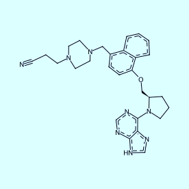 N#CCCN1CCN(Cc2ccc(OC[C@H]3CCCN3c3ncnc4[nH]cnc34)c3ccccc23)CC1